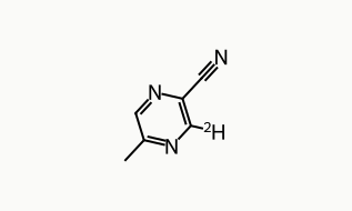 [2H]c1nc(C)cnc1C#N